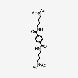 CC(=O)N(CCCCNC(=O)c1ccc(C(=O)NCCCCN(C(C)=O)C(C)=O)cc1)C(C)=O